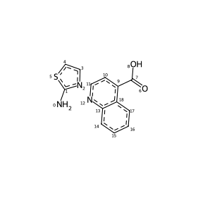 Nc1nccs1.O=C(O)c1ccnc2ccccc12